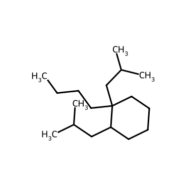 CCCCC1(CC(C)C)CCCCC1CC(C)C